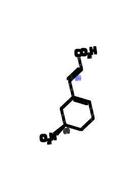 O=C(O)/C=C/C1=CCC[C@@H]([N+](=O)[O-])C1